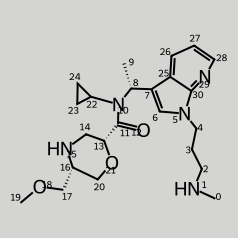 CNCCCn1cc([C@@H](C)N(C(=O)[C@H]2CN[C@@H](COC)CO2)C2CC2)c2cccnc21